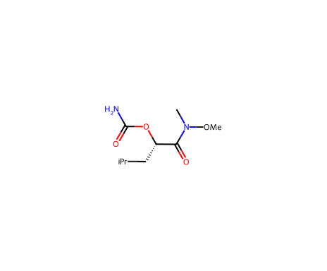 CON(C)C(=O)[C@H](CC(C)C)OC(N)=O